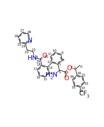 CC(OC(=O)C(N)c1ccccc1-c1ccccc1C(=O)NCCc1ccccn1)c1ccc(C(F)(F)F)cc1